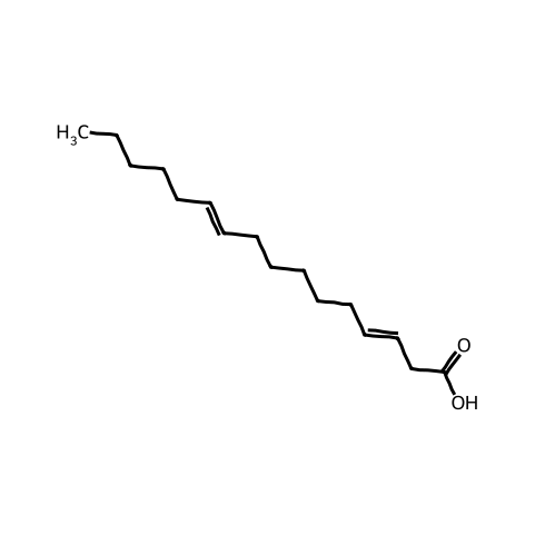 CCCCCC=CCCCCCC=CCC(=O)O